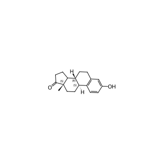 C[C@]12CC[C@@H]3c4ccc(O)cc4CC[C@H]3C1CCC2=O